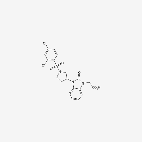 O=C(O)Cn1c(=O)n(C2CCN(S(=O)(=O)c3ccc(Cl)cc3Cl)C2)c2ncccc21